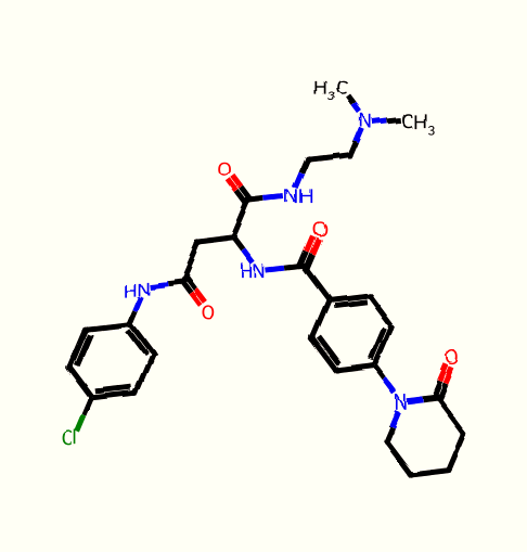 CN(C)CCNC(=O)C(CC(=O)Nc1ccc(Cl)cc1)NC(=O)c1ccc(N2CCCCC2=O)cc1